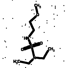 CCN(CC)S(=O)(=O)NCCOC